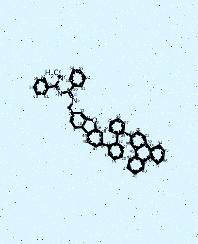 C=N/C(=N\C(=N/CC1=CCC2C(=C1)Oc1cc(-c3ccccc3-c3ccccc3-c3ccc4c5ccccc5c5ccccc5c4c3)ccc12)c1ccccc1)c1ccccc1